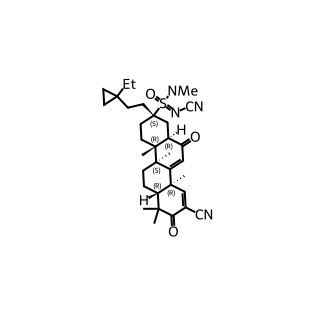 CCC1(CC[C@]2(S(=O)(=NC#N)NC)CC[C@]3(C)[C@@H](C2)C(=O)C=C2[C@@]4(C)C=C(C#N)C(=O)C(C)(C)[C@@H]4CC[C@]23C)CC1